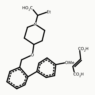 CCC(C(=O)O)N1CCC(OCc2ccccc2-c2ccc(OC)cc2)CC1.O=C(O)C=CC(=O)O